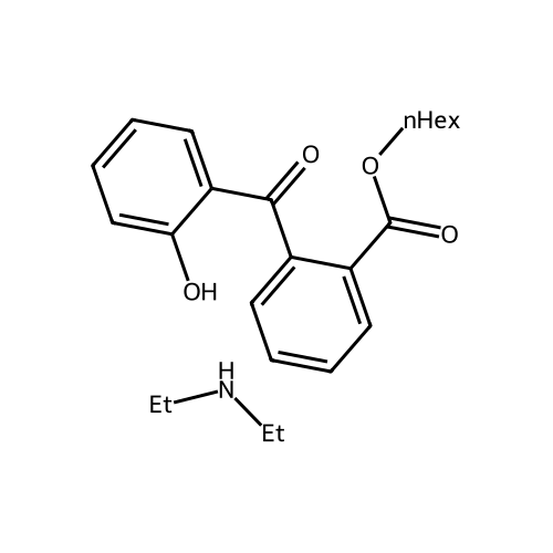 CCCCCCOC(=O)c1ccccc1C(=O)c1ccccc1O.CCNCC